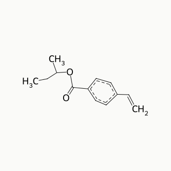 C=Cc1ccc(C(=O)OC(C)CC)cc1